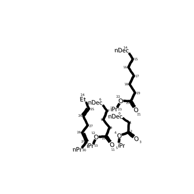 CCCCCCCCCCCC(=O)OC(C)C.CCCCCCCCCCCCCC(=O)OC(C)C.CCCCCCCCCCCCCCCC(=O)OC(C)C.[CH2]CC=CCC=CCCC